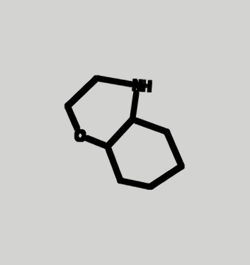 C1CCC2OCCNC2C1